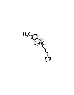 Cc1ccc(NC(=O)CCCCCn2ccnc2)c(Cl)c1.Cl